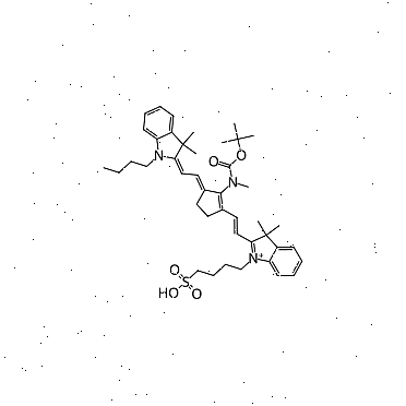 CCCCN1/C(=C/C=C2\CCC(/C=C/C3=[N+](CCCCS(=O)(=O)O)c4ccccc4C3(C)C)=C2N(C)C(=O)OC(C)(C)C)C(C)(C)c2ccccc21